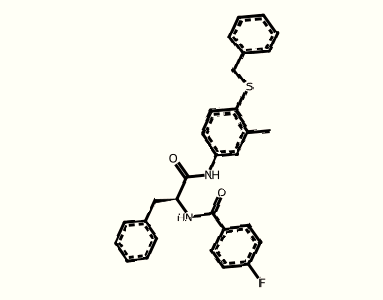 Cc1cc(NC(=O)[C@H](Cc2ccccc2)NC(=O)c2ccc(F)cc2)ccc1SCc1ccccc1